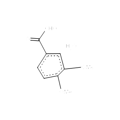 COc1ccc(C(=O)C=O)cc1OC.O